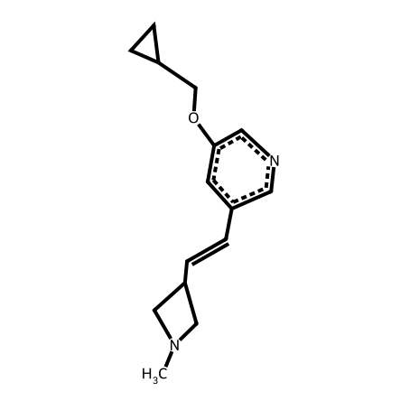 CN1CC(C=Cc2cncc(OCC3CC3)c2)C1